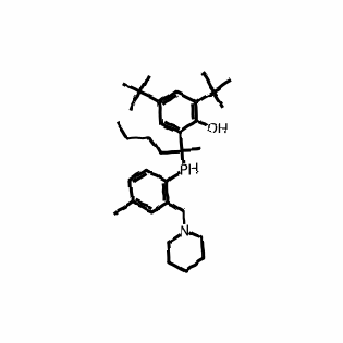 CCCCC(C)(Pc1ccc(C)cc1CN1CCCCC1)c1cc(C(C)(C)C)cc(C(C)(C)C)c1O